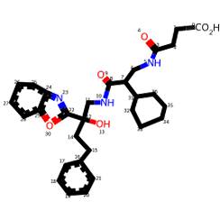 O=C(O)CCC(=O)NCC(C(=O)NCC(O)(CCc1ccccc1)c1nc2ccccc2o1)C1CCCCC1